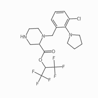 O=C(OC(C(F)(F)F)C(F)(F)F)C1CNCCN1Cc1cccc(Cl)c1N1CCCC1